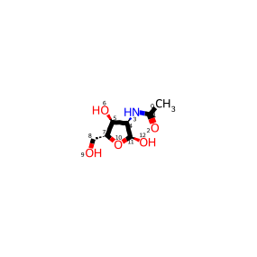 CC(=O)N[C@H]1[C@H](O)[C@@H](CO)O[C@@H]1O